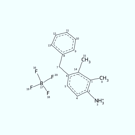 Cc1c([NH3+])ccc(Cc2ccccc2)c1C.F[B-](F)(F)F